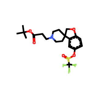 CC(C)(C)OC(=O)CCN1CCC2(CC1)COc1ccc(OS(=O)C(F)(F)F)cc12